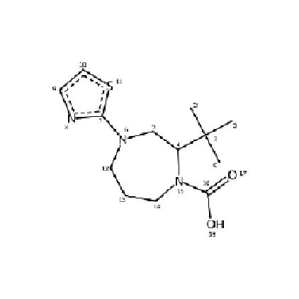 CC(C)(C)C1CN(c2nccs2)CCCN1C(=O)O